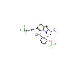 CN(C)C1C[C@H](c2c(C=O)cccc2OC(F)F)n2c1nc1ccc(C#CC3CC3(F)F)cc12